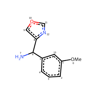 COc1cccc(C(N)c2cocn2)c1